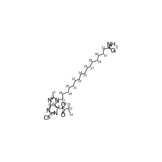 Cc1nc2nc(Cl)nc(S(=O)(=O)C(C)C)c2n1CCCCCCCCCCCCCCCCC(N)=O